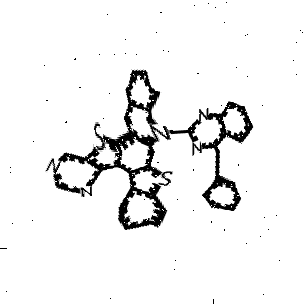 c1ccc(-c2nc(-n3c4ccccc4c4c5sc6cncnc6c5c5c6ccccc6sc5c43)nc3ccccc23)cc1